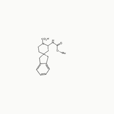 CC(C)(C)OC(=O)NC1CC2(CCN1C(=O)O)Cc1ccccc1C2